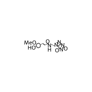 COc1cc(C=CC(=O)NCCn2cnc3c2c(=O)n(C)c(=O)n3C)ccc1O